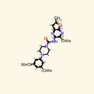 COc1cc(OC)cc(N2CCN(C(=O)Nc3nc4cc(C)oc4nc3OC)CC2)c1